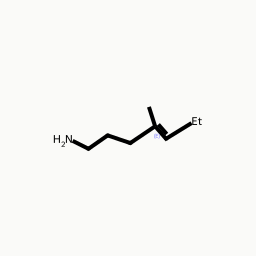 CC/C=C(\C)CCCN